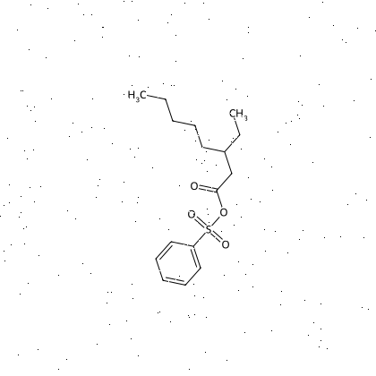 CCCCCC(CC)CC(=O)OS(=O)(=O)c1ccccc1